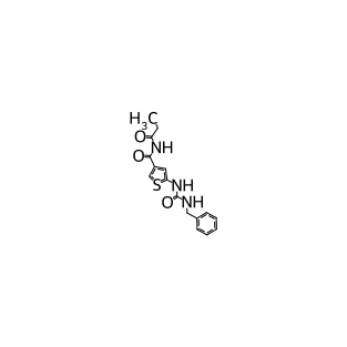 CCC(=O)NC(=O)c1csc(NC(=O)NCc2ccccc2)c1